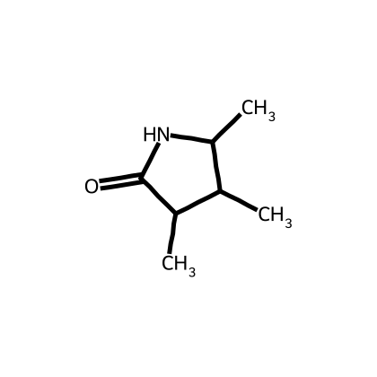 CC1NC(=O)C(C)C1C